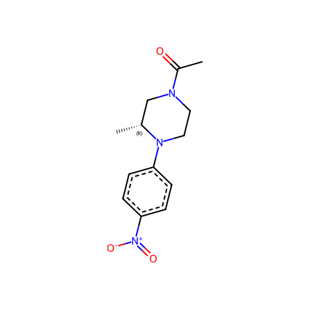 CC(=O)N1CCN(c2ccc([N+](=O)[O-])cc2)[C@H](C)C1